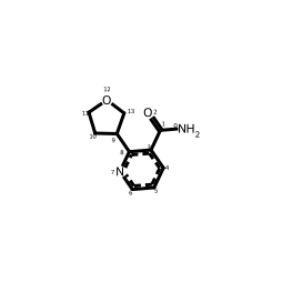 NC(=O)c1cccnc1C1CCOC1